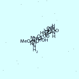 COc1nc(N)nc2c1ncn2[C@@H]1O[C@H](COP(=O)(N[C@@H](C)C(=O)OC(C)C)SCC2NC(=O)NC2=O)[C@@H](O)[C@@]1(C)O